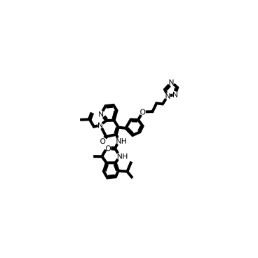 C=C(C)Cn1c(=O)c(NC(=O)Nc2c(C(C)C)cccc2C(C)C)c(-c2cccc(OCCCn3cncn3)c2)c2cccnc21